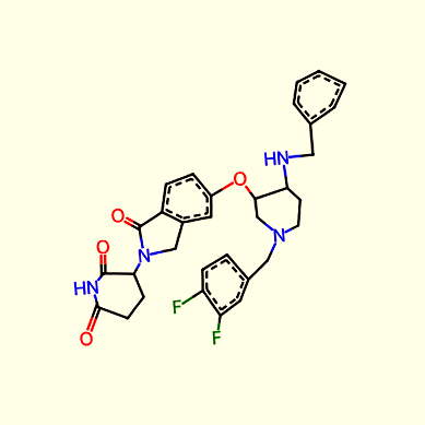 O=C1CCC(N2Cc3cc(OC4CN(Cc5ccc(F)c(F)c5)CCC4NCc4ccccc4)ccc3C2=O)C(=O)N1